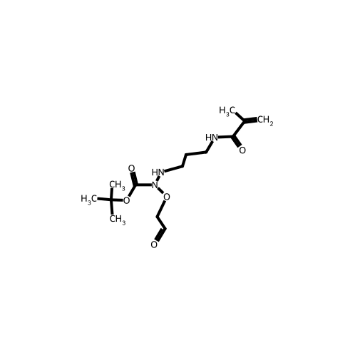 C=C(C)C(=O)NCCCNN(OCC=O)C(=O)OC(C)(C)C